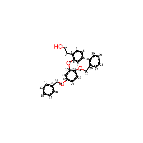 OCCc1ccccc1Oc1cc(OCc2ccccc2)ccc1OCc1ccccc1